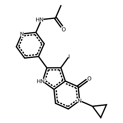 CC(=O)Nc1cc(-c2[nH]c3ccn(C4CC4)c(=O)c3c2I)ccn1